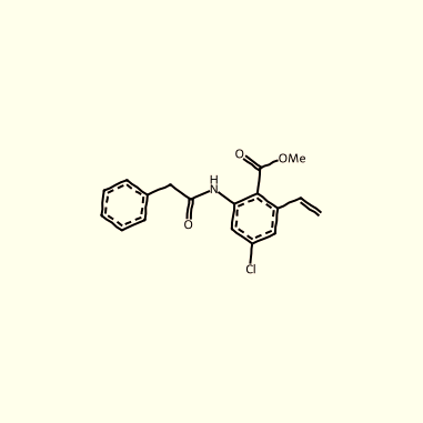 C=Cc1cc(Cl)cc(NC(=O)Cc2ccccc2)c1C(=O)OC